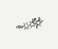 CCCC[C@H]1CC[C@H](c2ccc(-c3c(F)cc(C)c(F)c3F)c(F)c2)CC1